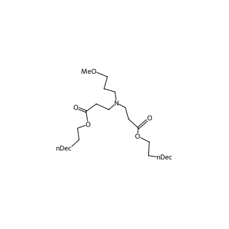 CCCCCCCCCCCCOC(=O)CCN(CCCOC)CCC(=O)OCCCCCCCCCCCC